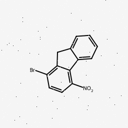 O=[N+]([O-])c1ccc(Br)c2c1-c1ccccc1C2